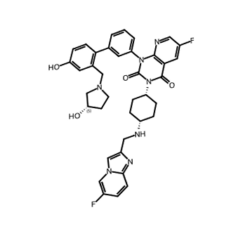 O=c1c2cc(F)cnc2n(-c2cccc(-c3ccc(O)cc3CN3CC[C@H](O)C3)c2)c(=O)n1[C@H]1CC[C@@H](NCc2cn3cc(F)ccc3n2)CC1